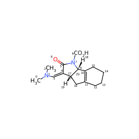 CN(C)C=C1C(=O)N(C(=O)O)[C@@H]2C3=C(CCCC3)C[C@H]12